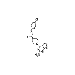 Nc1nc(N2CCN(C(=O)COc3ccc(Cl)cc3)CC2)c2ccsc2n1